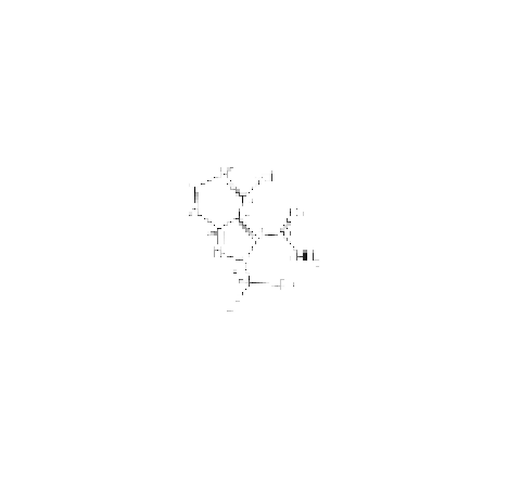 NC(=O)c1c2c(Cl)ncnc2nn1C(F)F